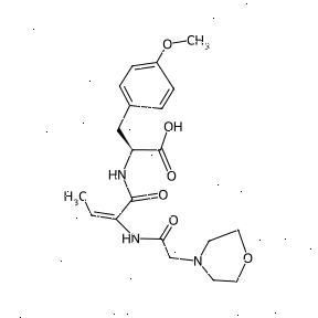 CC=C(NC(=O)CN1CCOCC1)C(=O)N[C@@H](Cc1ccc(OC)cc1)C(=O)O